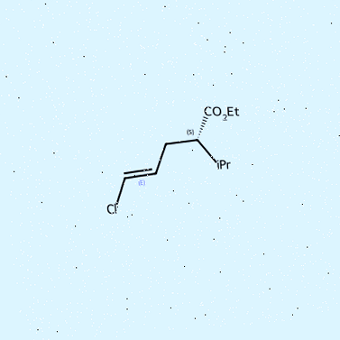 CCOC(=O)[C@@H](C/C=C/Cl)C(C)C